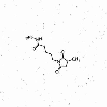 CCCNC(=O)CCCCN1C(=O)CC(C)C1=O